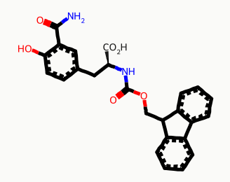 NC(=O)c1cc(C[C@H](NC(=O)OCC2c3ccccc3-c3ccccc32)C(=O)O)ccc1O